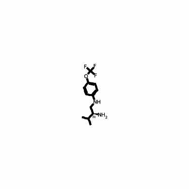 CC(C)[C@H](N)CNc1ccc(OC(F)(F)F)cc1